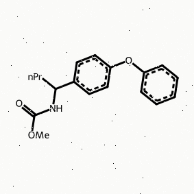 CCCC(NC(=O)OC)c1ccc(Oc2ccccc2)cc1